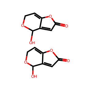 O=C1C=C2C(=CCOC2O)O1.O=C1C=C2C(=CCOC2O)O1